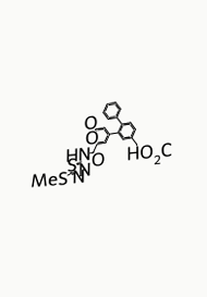 CSc1nnc(NC(=O)c2cc(-c3cc(CC(=O)O)ccc3-c3ccccc3)cc(=O)o2)s1